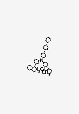 CC1(C)c2ccccc2-c2ccc(N(c3ccc(-c4ccc(-c5ccccc5)cc4)cc3)c3cccc(-c4cccc5ccccc45)c3)cc21